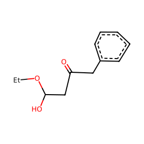 CCOC(O)CC(=O)Cc1ccccc1